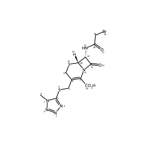 Cn1nnnc1SCC1=C(C(=O)O)N2C(=O)[C@@H](NC(=O)CBr)[C@H]2SC1